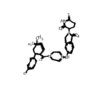 CC1(C)CCC(C(=O)N2CCN(Nc3ccc4c(c3)CN(C3CCC(=O)NC3=O)C4=O)CC2)=C(c2ccc(Cl)cc2)C1